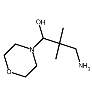 CC(C)(CN)C(O)N1CCOCC1